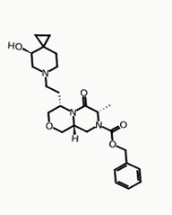 C[C@H]1C(=O)N2[C@@H](CCN3CCC4(CC4)[C@H](O)C3)COC[C@H]2CN1C(=O)OCc1ccccc1